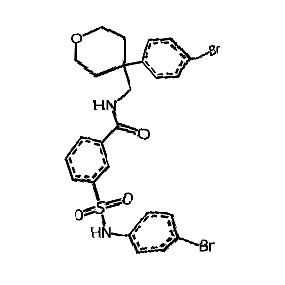 O=C(NCC1(c2ccc(Br)cc2)CCOCC1)c1cccc(S(=O)(=O)Nc2ccc(Br)cc2)c1